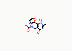 CC(=O)NCc1c(-c2ccco2)[nH]c(C)cc1=O